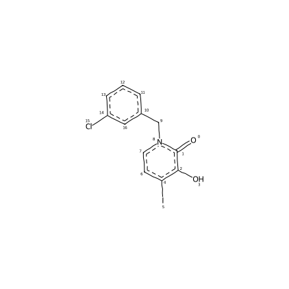 O=c1c(O)c(I)ccn1Cc1cccc(Cl)c1